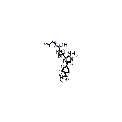 CC/C=C\C=C(/O)c1nnc(-c2nc(-c3ccc(C(=O)N(C)C)cc3)cnc2N)o1